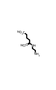 Cl.NCCNC(=O)CCCC(=O)O